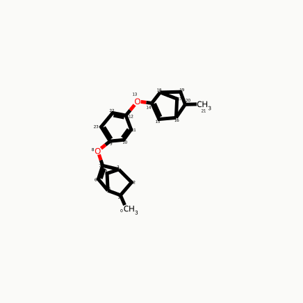 CC1CC2CC1C=C2Oc1ccc(OC2=CC3CC2CC3C)cc1